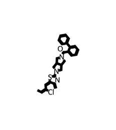 C=c1nc(N2CC3CN(C(=O)c4ccccc4-c4ccccc4)CC3C2)s/c1=C/C(Cl)=C\C